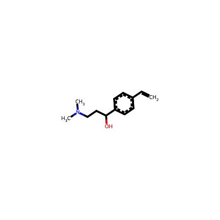 C=Cc1ccc(C(O)CCN(C)C)cc1